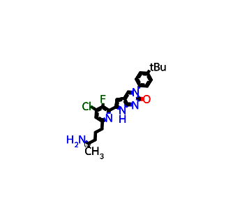 C[C@H](N)CCCc1cc(Cl)c(F)c(-c2cc3cn(-c4ccc(C(C)(C)C)cc4)c(=O)nc3[nH]2)n1